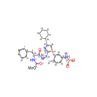 COC(=O)N[C@@H](Cc1ccccc1)C(=O)N[C@@H](Cc1ccc(N[SH](=O)=O)cc1)c1nc(C2CCCCC2)cs1